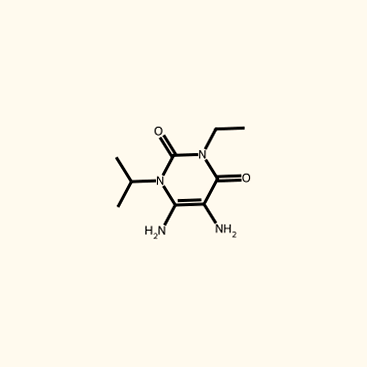 CCn1c(=O)c(N)c(N)n(C(C)C)c1=O